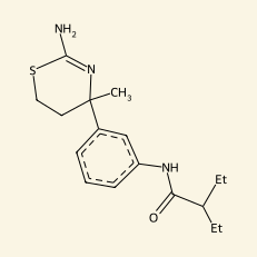 CCC(CC)C(=O)Nc1cccc(C2(C)CCSC(N)=N2)c1